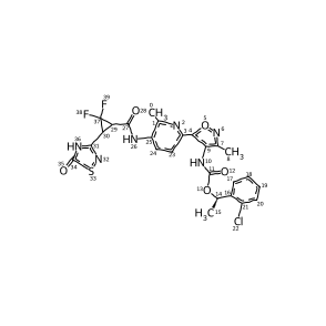 Cc1nc(-c2onc(C)c2NC(=O)O[C@H](C)c2ccccc2Cl)ccc1NC(=O)C1C(c2nsc(=O)[nH]2)C1(F)F